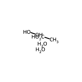 CC(=O)O.O.O.OO